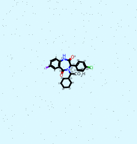 O=C1Nc2ccc(I)cc2C(=O)N(C(C(=O)O)C2CCCCC2)C1c1ccc(Cl)cc1